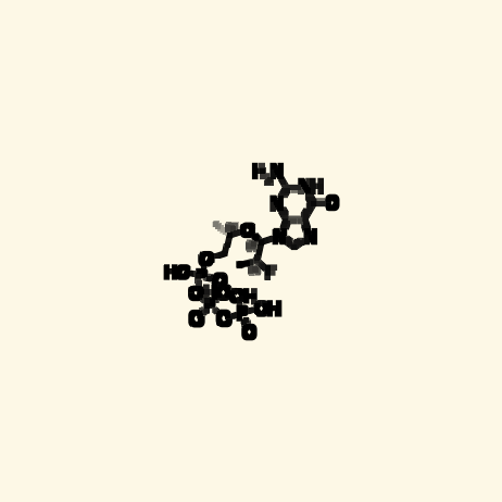 C[C@H](F)[C@@H](O[C@@H](C)COP(=O)(O)OP(=O)(O)OP(=O)(O)O)n1cnc2c(=O)[nH]c(N)nc21